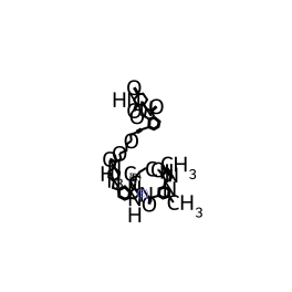 Cc1cc2cc(n1)C1C=NN(C)C1OCCC[C@@H](C)CN1/C(=N/C2=O)Nc2ccc(CN3CCN(C(=O)COCCOCC#Cc4cccc5c4C(=O)N(C4CCC(=O)NC4=O)C5=O)CC3)cc21